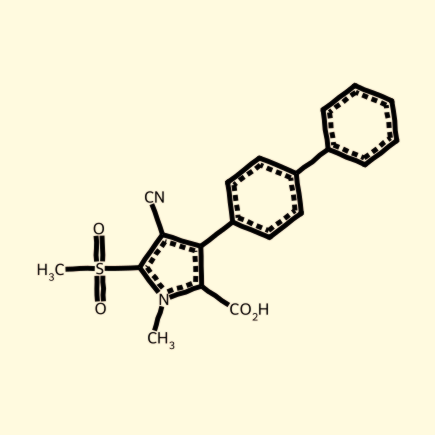 Cn1c(C(=O)O)c(-c2ccc(-c3ccccc3)cc2)c(C#N)c1S(C)(=O)=O